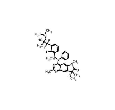 COC1(C)C(=O)N(C)c2cc3c(N(c4ccccc4)[C@H](C)c4cccc(C(F)(F)C(C)(O)CN(C)C)c4F)nc(C)nc3cc21